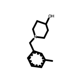 Cc1cccc(CN2CCC(O)CC2)c1